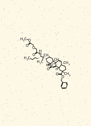 CCCC[C@H](NC(=O)COCC(=O)OC)C(C)(C)[C@@H]1CC[C@]2(C)[C@@H](C1)C(=O)C=C1[C@@H]3C[C@@](C)(C(=O)OCc4ccccc4)CC[C@]3(C)CC[C@]12C